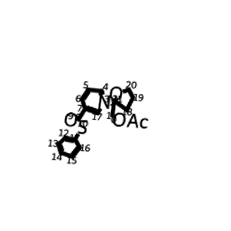 CC(=O)OCC1([n+]2cccc(C(=O)Sc3ccccc3)c2)CCCO1